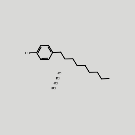 CCCCCCCCCc1ccc(O)cc1.Cl.Cl.Cl.Cl